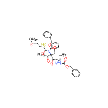 CNC(=O)[C@@](Cc1ccccc1)(C(=O)[C@H](CC(C)C)NC(=O)OCc1ccccc1)N(C(=O)OCc1ccccc1)C(=O)C(S)CCC(=O)OC